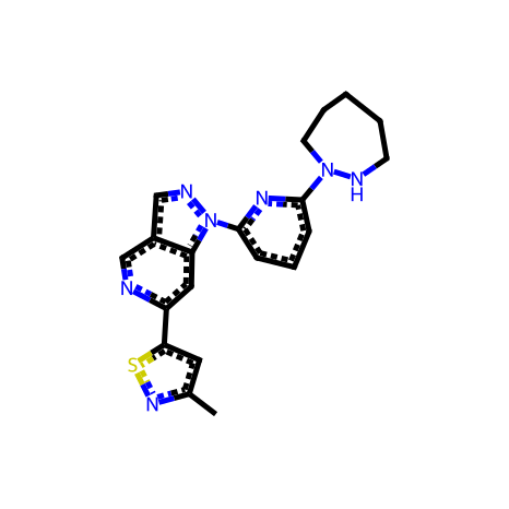 Cc1cc(-c2cc3c(cn2)cnn3-c2cccc(N3CCCCCN3)n2)sn1